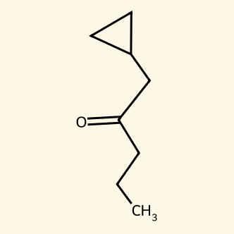 CCCC(=O)CC1CC1